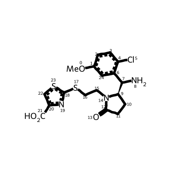 COc1ccc(Cl)c(C(N)[C@H]2CCC(=O)N2CCSc2nc(C(=O)O)cs2)c1